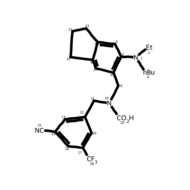 CCCCN(CC)c1cc2c(cc1CN(Cc1cc(C#N)cc(C(F)(F)F)c1)C(=O)O)CCC2